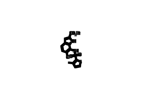 CCOC(=O)c1cc2ccc(Cl)c(NS(=O)(=O)c3sccc3C)c2[nH]1